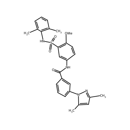 COc1ccc(NC(=O)c2cccc(-n3nc(C)cc3C)c2)cc1S(=O)(=O)Nc1c(C)cccc1C